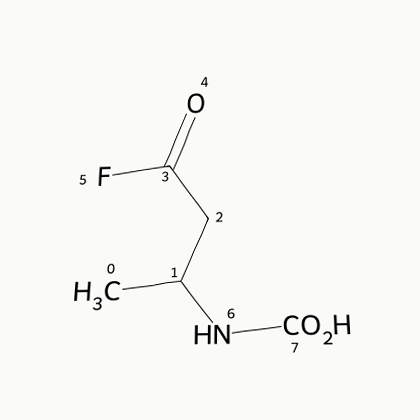 CC(CC(=O)F)NC(=O)O